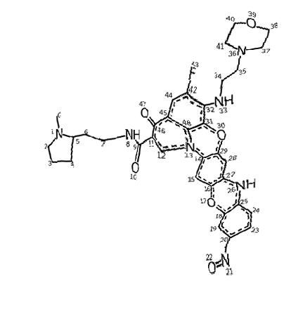 CN1CCCC1CCNC(=O)c1cn2c3cc4oc5cc(N=O)ccc5[nH]c4cc3oc3c(NCCN4CCOCC4)c(F)cc(c1=O)c32